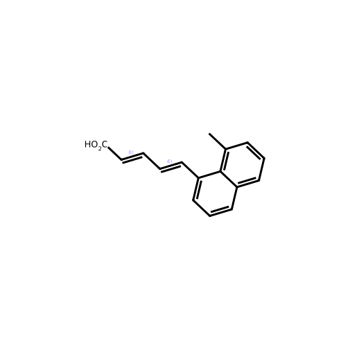 Cc1cccc2cccc(/C=C/C=C/C(=O)O)c12